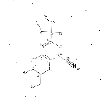 CCC(CC)Cc1c(F)cc(C(C)(CC)CC)cc1C#N